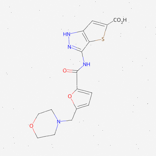 O=C(Nc1n[nH]c2cc(C(=O)O)sc12)c1ccc(CN2CCOCC2)o1